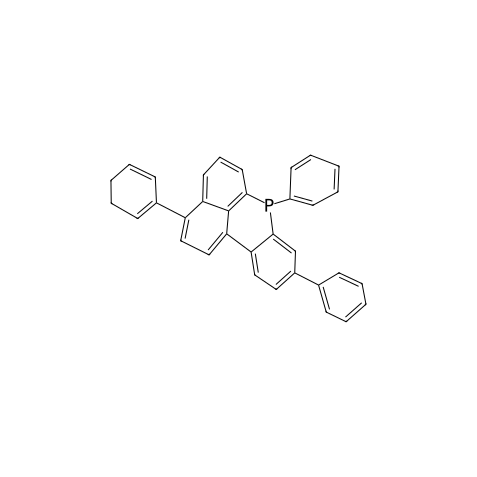 C1=CC(c2ccc3c4c(cccc24)P(c2ccccc2)c2cc(-c4ccccc4)ccc2-3)=CCC1